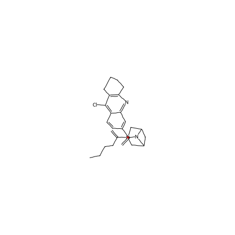 C=C(CCCC)N1CC2CC(C1)N2C(=C)c1ccc2c(Cl)c3c(nc2c1)CCCC3